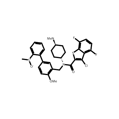 CN[C@H]1CC[C@H](N(Cc2cc(-c3ccccc3[S+](C)[O-])ccc2OC)C(=O)c2sc3c(F)ccc(F)c3c2Cl)CC1